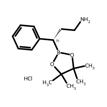 CC1(C)OB([C@@H](CCN)c2ccccc2)OC1(C)C.Cl